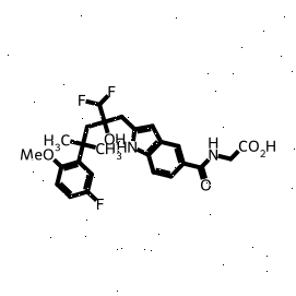 COc1ccc(F)cc1C(C)(C)CC(O)(Cc1cc2cc(C(=O)NCC(=O)O)ccc2[nH]1)C(F)F